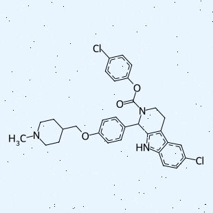 CN1CCC(COc2ccc(C3c4[nH]c5ccc(Cl)cc5c4CCN3C(=O)Oc3ccc(Cl)cc3)cc2)CC1